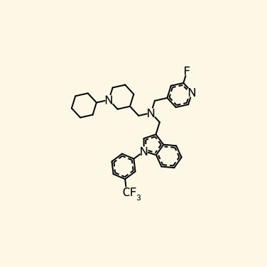 Fc1cc(CN(Cc2cn(-c3cccc(C(F)(F)F)c3)c3ccccc23)CC2CCCN(C3CCCCC3)C2)ccn1